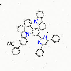 N#Cc1ccccc1-c1ccc2c(c1)c1ccccc1n2-c1cc(-c2nc(-c3ccccc3)cc(-c3ccccc3)n2)ccc1-c1ccccc1-n1c2ccccc2c2ccccc21